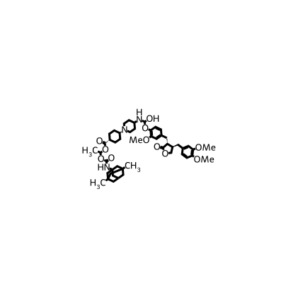 COc1ccc(C[C@H]2COC(=O)[C@@H]2Cc2ccc(OC(O)NC3CCN([C@H]4CC[C@@H](C(=O)OC(C)OC(=O)NC56CC7CC(C)(CC(C)(C7)C5)C6)CC4)CC3)c(OC)c2)cc1OC